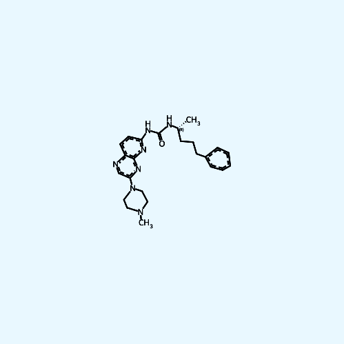 C[C@H](CCCc1ccccc1)NC(=O)Nc1ccc2ncc(N3CCN(C)CC3)nc2n1